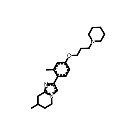 Cc1cc(OCCCN2CCCCC2)ccc1-c1cn2c(n1)CC(C)CC2